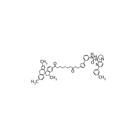 Cc1cccc(-c2ccc3c(n2)N(C(=O)Nc2cccc(C4=CC=C(CCC(=O)CCCCCCC(=O)c5ccc6c(c5)C(C)CC65c6ccc(C)cc6Cc6cc(C)ccc65)C4)c2)[C@H]2CCN3C2)c1